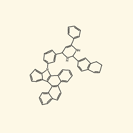 C1=Cc2ccc(C3NC(c4ccccc4)=CC(c4cccc(-n5c6ccccc6c6c7c8ccccc8ccc7c7ccccc7c65)c4)N3)cc2CC1